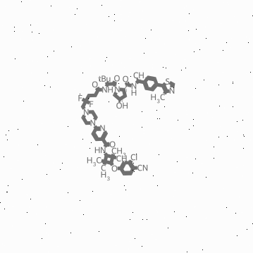 Cc1ncsc1-c1ccc([C@H](C)NC(=O)[C@@H]2C[C@@H](O)CN2C(=O)C(NC(=O)CCC(F)(F)CN2CCN(c3ccc(C(=O)NC4C(C)(C)C(Oc5ccc(C#N)c(Cl)c5)C4(C)C)cn3)CC2)C(C)(C)C)cc1